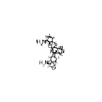 Nc1nccc(Sc2cnc(N3CCC4(CC3)COCC4N)n3cnnc23)c1Cl